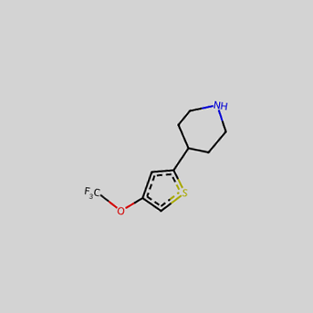 FC(F)(F)Oc1csc(C2CCNCC2)c1